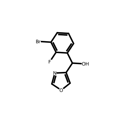 OC(c1cocn1)c1cccc(Br)c1F